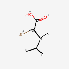 CC(C)C(C)C(Br)C(=O)O